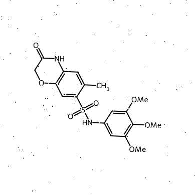 COc1cc(NS(=O)(=O)c2cc3c(cc2C)NC(=O)CO3)cc(OC)c1OC